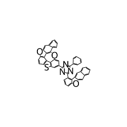 c1ccc(-c2nc(-c3cc4oc5c6ccccc6cc6oc7ccc8sc(c3)c4c8c7c65)nc(-c3cccc4oc5cc6ccccc6cc5c34)n2)cc1